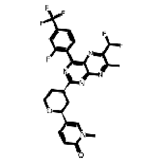 Cc1nc2nc([C@@H]3CCO[C@H](c4ccc(=O)n(C)c4)C3)nc(-c3ccc(C(F)(F)F)cc3F)c2nc1C(F)F